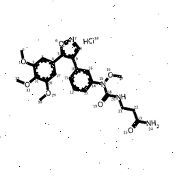 COc1cc(-c2oncc2-c2cccc(N(OC)C(=O)NCCC(N)=O)c2)cc(OC)c1OC.Cl